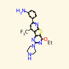 CCOc1nc(N2CCNCC2)nc2c1sc1nc(-c3cccc(N)c3)cc(C(F)(F)F)c12